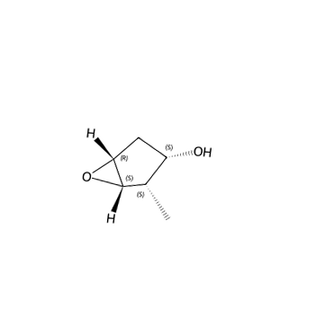 C[C@@H]1[C@@H]2O[C@@H]2C[C@@H]1O